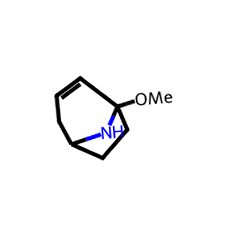 COC12C=CCC(CC1)N2